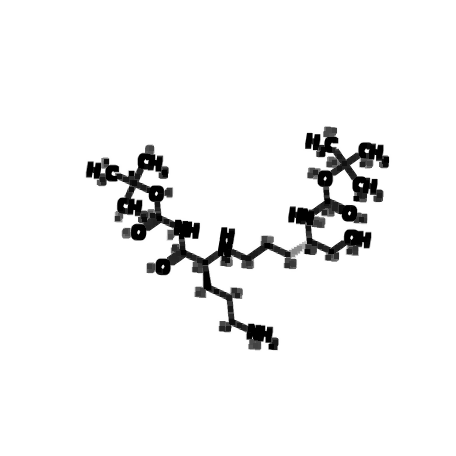 CC(C)(C)OC(=O)NC(=O)[C@H](CCCN)NCCC[C@@H](CO)NC(=O)OC(C)(C)C